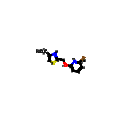 CCOC(=O)c1csc(COc2cccc(Br)n2)n1